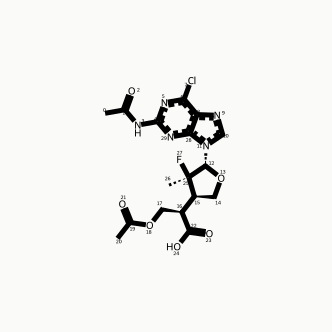 CC(=O)Nc1nc(Cl)c2ncn([C@@H]3OC[C@@H]([C@H](COC(C)=O)C(=O)O)[C@@]3(C)F)c2n1